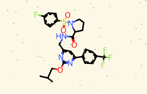 CC(C)COc1nc(CNC(=O)C2CCCN2S(=O)(=O)c2ccc(F)cc2)cc(-c2ccc(C(F)(F)F)cc2)n1